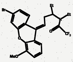 CCC(C/C=C1\c2ccc(Br)cc2Oc2c(OC)cccc21)N(CC)C(=O)C(F)(F)F